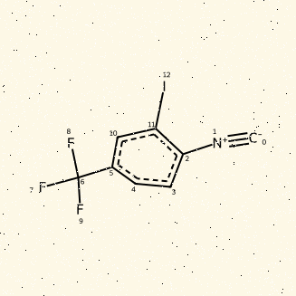 [C-]#[N+]c1ccc(C(F)(F)F)cc1I